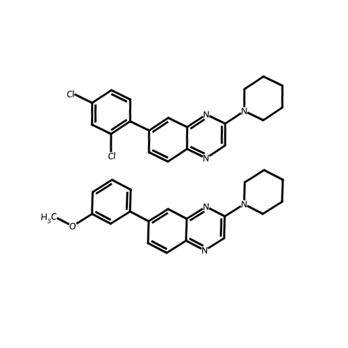 COc1cccc(-c2ccc3ncc(N4CCCCC4)nc3c2)c1.Clc1ccc(-c2ccc3ncc(N4CCCCC4)nc3c2)c(Cl)c1